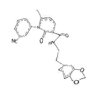 Cc1ccc(C(=O)NCCc2ccc3c(c2)OCO3)c(=O)n1-c1cccc(C#N)c1